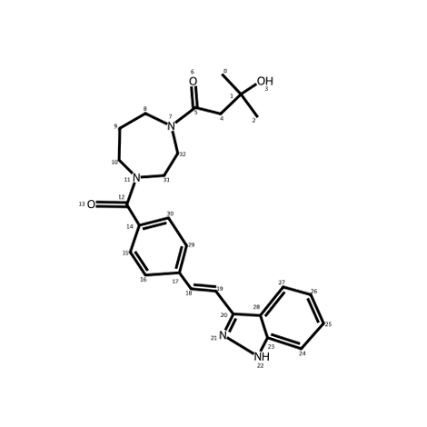 CC(C)(O)CC(=O)N1CCCN(C(=O)c2ccc(C=Cc3n[nH]c4ccccc34)cc2)CC1